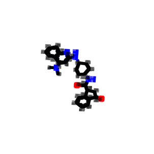 CN(C)c1cc(N[C@H]2CC[C@@H](NC(=O)C3CC(=O)c4ccccc43)CC2)nc2ccccc12